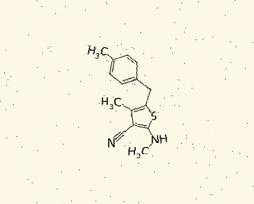 CNc1sc(Cc2ccc(C)cc2)c(C)c1C#N